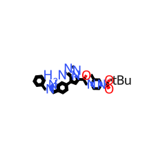 CC(C)(C)OC(=O)N1CCN2CC(c3cc(-c4ccc5cn(Cc6ccccc6)nc5c4)c4c(N)ncnn34)OCC2C1